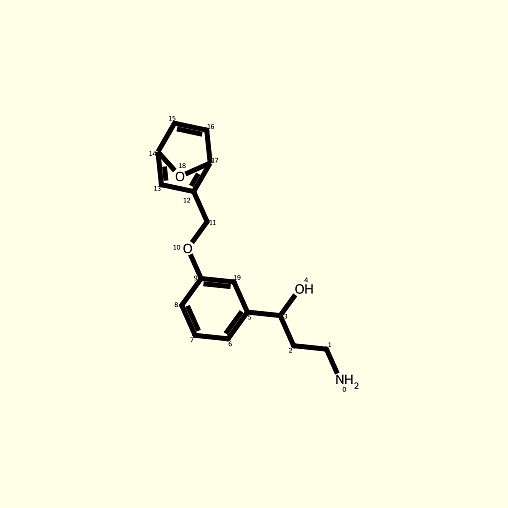 NCCC(O)c1cccc(OCc2cc3ccc2o3)c1